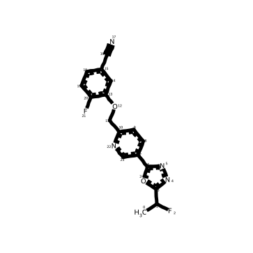 CC(F)c1nnc(-c2ccc(COc3cc(C#N)ccc3F)nc2)o1